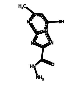 Cc1cc(S)n2nc(C(=O)NN)nc2n1